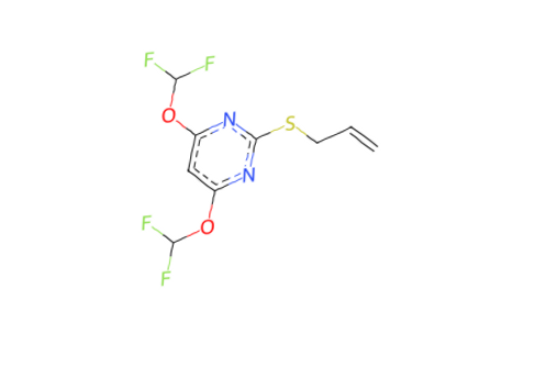 C=CCSc1nc(OC(F)F)cc(OC(F)F)n1